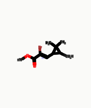 CCCOC(=O)/C(Br)=C/C1C(C(=O)O)C1(C)C